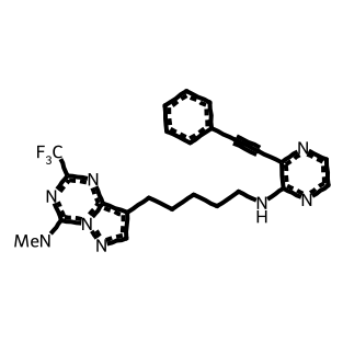 CNc1nc(C(F)(F)F)nc2c(CCCCCNc3nccnc3C#Cc3ccccc3)cnn12